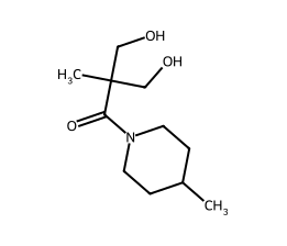 CC1CCN(C(=O)C(C)(CO)CO)CC1